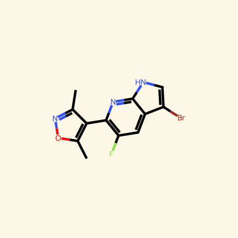 Cc1noc(C)c1-c1nc2[nH]cc(Br)c2cc1F